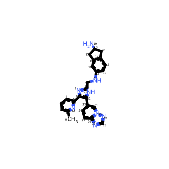 Cc1cccc(-c2nc(CNc3ccc4c(c3)CC(N)C4)[nH]c2-c2ccc3ncnn3c2)n1